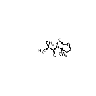 C=C(C)C(=O)NC1(C)CCOC1=O